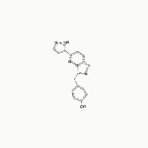 Oc1ccc(Cc2nnc3ccc(-c4ccn[nH]4)nn23)cc1